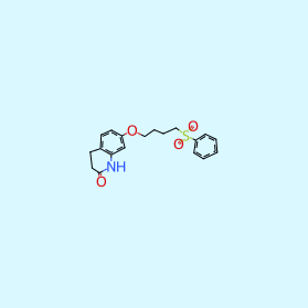 O=C1CCc2ccc(OCCCCS(=O)(=O)c3ccccc3)cc2N1